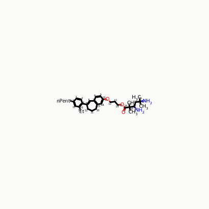 CCCCCc1ccc(C2=Cc3ccc(OCCCOC(=O)C(C)(C)C(N)CC(C)(C)N)cc3CCC2)c(CC)c1